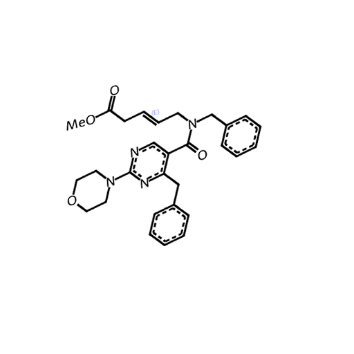 COC(=O)C/C=C/CN(Cc1ccccc1)C(=O)c1cnc(N2CCOCC2)nc1Cc1ccccc1